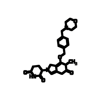 CC1C(=O)CC2=CN(C3CCC(=O)NC3=O)CC2=C1OCc1ccc(CN2CCOCC2)cc1